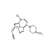 CN1CCN(C2=C3C=NCC34C/C(=C\C#N)CC=C4N(Cl)C=C2)CC1